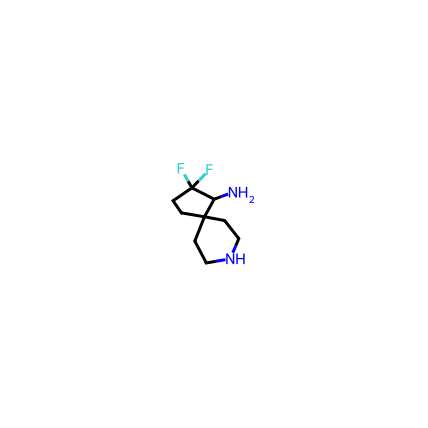 NC1C(F)(F)CCC12CCNCC2